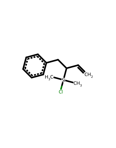 C=CC(Cc1ccccc1)[Si](C)(C)Cl